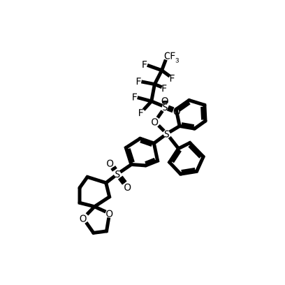 O=S(=O)(c1ccc(S(OS(=O)(=O)C(F)(F)C(F)(F)C(F)(F)C(F)(F)F)(c2ccccc2)c2ccccc2)cc1)C1CCCC2(C1)OCCO2